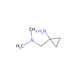 CN(C)CC1(N)CC1